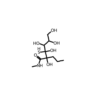 CCCC(O)(C(=O)NC)C(O)(S)C(O)C(O)CO